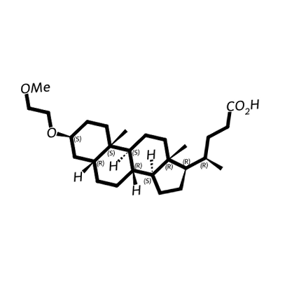 COCCO[C@H]1CC[C@@]2(C)[C@H](CC[C@@H]3[C@@H]2CC[C@]2(C)[C@@H]([C@H](C)CCC(=O)O)CC[C@@H]32)C1